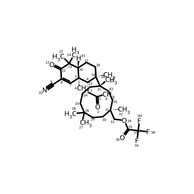 CC(=O)C[C@@H]1[C@@]2(C)C=C(C#N)C(=O)C(C)(C)[C@@H]2CC[C@@]1(C)[C@@]1(C)CCCC(C)(C)CC[C@](C)(COC(=O)C(F)(F)F)CC1